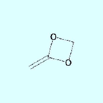 C=C1OCO1